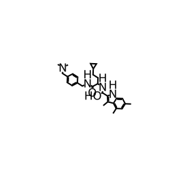 Cc1cc(C)c2c(C)c(C(O)NC(CCC3CC3)C(=O)NCc3ccc(CN(C)C)cc3)[nH]c2c1